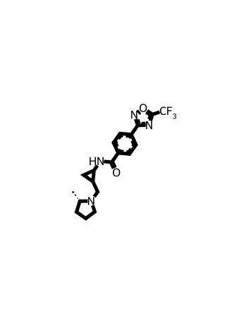 C[C@H]1CCCN1CC1CC1NC(=O)c1ccc(-c2noc(C(F)(F)F)n2)cc1